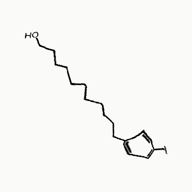 OCCCCCCCCCCCc1ccc(I)cc1